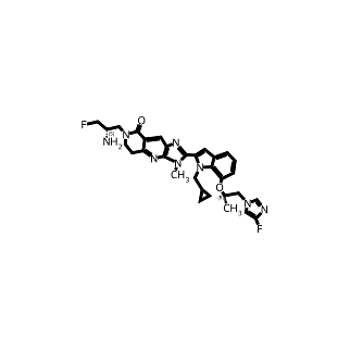 C[C@H](Cn1cnc(F)c1)Oc1cccc2cc(-c3nc4cc5c(nc4n3C)CCN(C[C@H](N)CF)C5=O)n(CC3CC3)c12